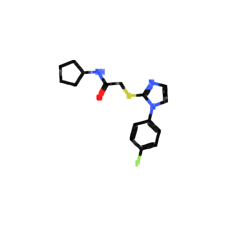 O=C(CSc1nccn1-c1ccc(F)cc1)NC1CCCC1